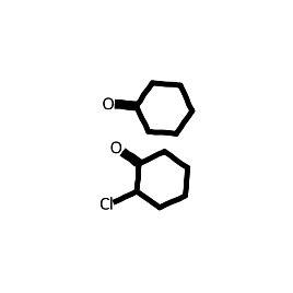 O=C1CCCCC1.O=C1CCCCC1Cl